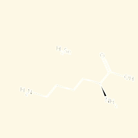 NCCCC[C@H](N)C(=O)O.[SeH2]